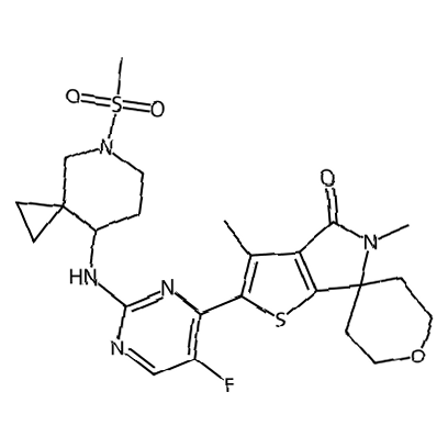 Cc1c(-c2nc(NC3CCN(S(C)(=O)=O)CC34CC4)ncc2F)sc2c1C(=O)N(C)C21CCOCC1